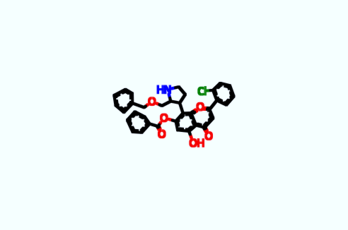 O=C(Oc1cc(O)c2c(=O)cc(-c3ccccc3Cl)oc2c1C1CCNC1COCc1ccccc1)c1ccccc1